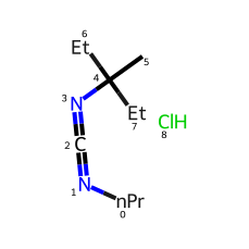 CCCN=C=NC(C)(CC)CC.Cl